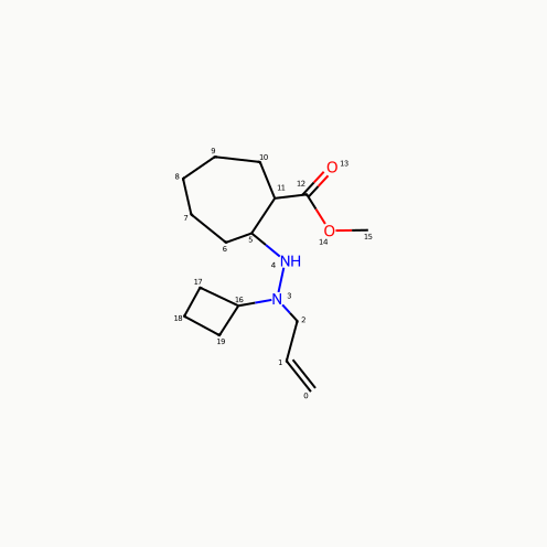 C=CCN(NC1CCCCCC1C(=O)OC)C1CCC1